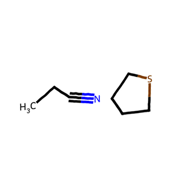 C1CCSC1.CCC#N